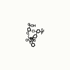 O=C(O)c1ccc(OCCNC(=O)[C@@H]2Cc3ccccc3N2S(=O)(=O)c2ccc(-c3cc(C(F)(F)F)ccc3Cl)cc2)cc1